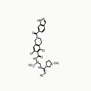 CC(=O)O[C@H]1CCN(/C(=N/C#N)NC[C@H](NC(=O)c2c(Cl)cc3c(c2Cl)CCN(C(=O)c2ccc4cn[nH]c4c2)C3)C(=O)O)C1